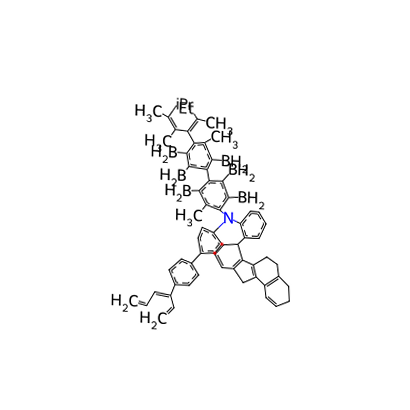 Bc1c(B)c(-c2c(B)c(B)c(N(c3ccc(-c4ccc(/C(C=C)=C/C=C)cc4)cc3)c3ccccc3C3CC=CC4=C3C3=C(C4)C4=C(CCC=C4)CC3)c(C)c2B)c(B)c(C)c1C(=C(\C)CC)/C(C)=C(/C)C(C)C